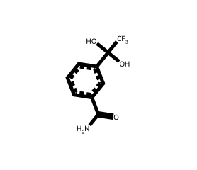 NC(=O)c1cccc(C(O)(O)C(F)(F)F)c1